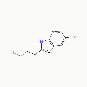 ClCCCc1cc2cc(Br)cnc2[nH]1